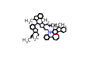 C=C/C=C1/C(=C)/C(=C(\C2=C(C)Cc3ccccc32)c2cccc3c2CC(C=C)=C3C#CC)C/C1=C/CN(c1ccc2c(c1)C(C)(C)C1=CCCC=C12)c1ccccc1C1=CC=CCC=C1